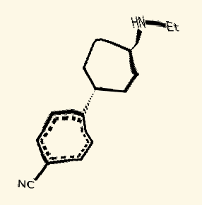 CCN[C@H]1CC[C@H](c2ccc(C#N)cc2)CC1